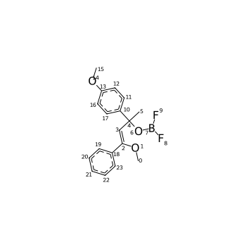 CO/C(=C\C(C)(OB(F)F)c1ccc(OC)cc1)c1ccccc1